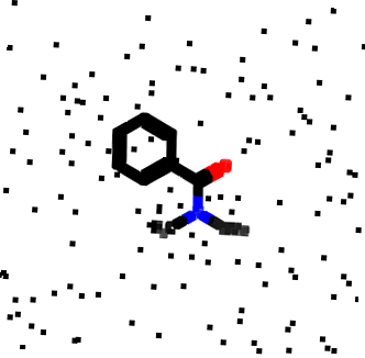 CNN(C)C(=O)c1ccccc1